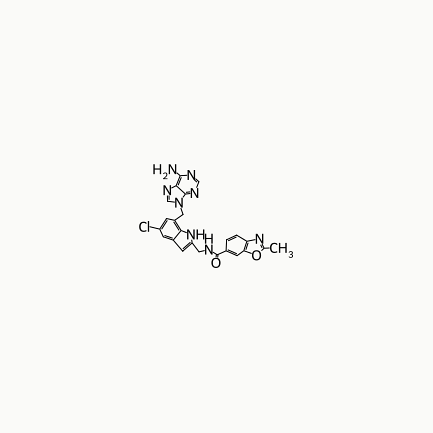 Cc1nc2ccc(C(=O)NCc3cc4cc(Cl)cc(Cn5cnc6c(N)ncnc65)c4[nH]3)cc2o1